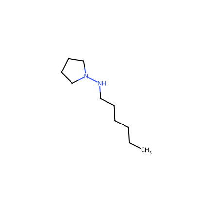 CCCCCCNN1CCCC1